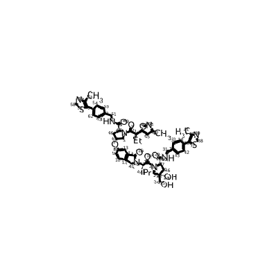 CC[C@@H](C(=O)N1C[C@H](Oc2ccc3c(c2)C(=O)N([C@H](C(=O)N2C[C@](O)(CO)C[C@H]2C(=O)NCc2ccc(-c4scnc4C)cc2)C(C)C)C3)C[C@H]1C(=O)NCc1ccc(-c2scnc2C)cc1)c1cc(C)no1